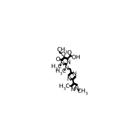 CCOc1c(C(=O)O)nc(N(C)Cc2cnc(-c3cn(C)nc3C)cn2)n(C)c1=O